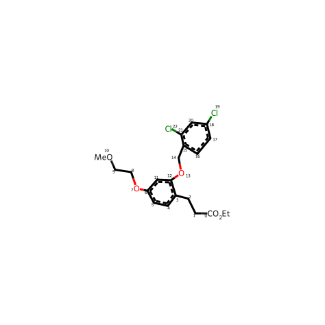 CCOC(=O)CCc1ccc(OCCOC)cc1OCc1ccc(Cl)cc1Cl